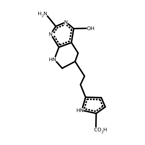 Nc1nc(O)c2c(n1)NCC(CCc1ccc(C(=O)O)[nH]1)C2